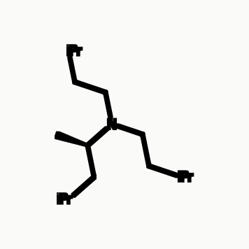 CC(C)CCN(CCC(C)C)[C@H](C)CC(C)C